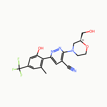 Cc1cc(C(F)(F)F)cc(O)c1-c1cc(C#N)c(N2CCO[C@H](CO)C2)nn1